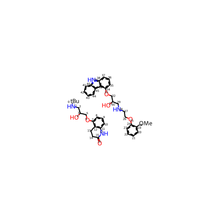 CC(C)(C)NCC(O)COc1cccc2c1CCC(=O)N2.COc1ccccc1OCCNCC(O)COc1cccc2[nH]c3ccccc3c12